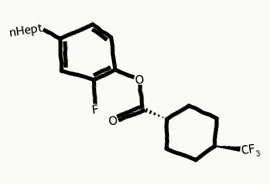 CCCCCCCc1ccc(OC(=O)[C@H]2CC[C@H](C(F)(F)F)CC2)c(F)c1